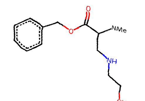 CNC(CNCCO)C(=O)OCc1ccccc1